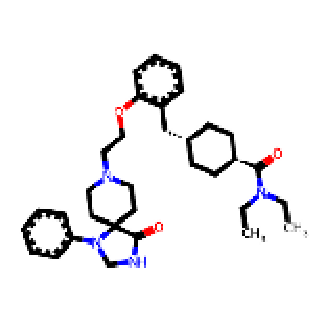 CCN(CC)C(=O)[C@H]1CC[C@H](Cc2ccccc2OCCN2CCC3(CC2)C(=O)NCN3c2ccccc2)CC1